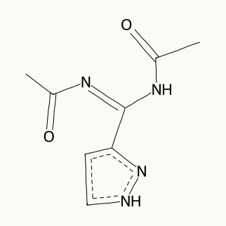 CC(=O)/N=C(/NC(C)=O)c1cc[nH]n1